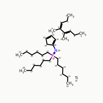 CCC=C(C)C(C)=CCC.CCCCCCP(CCCCCC)(CCCCCC)=NC1=CC=CC1.[Ti]